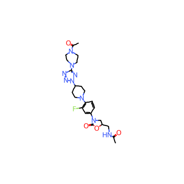 CC(=O)NCC1CN(c2ccc(N3CCC(n4nnc(N5CCN(C(C)=O)CC5)n4)CC3)c(F)c2)C(=O)O1